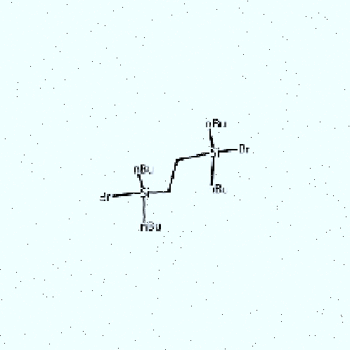 CCCC[Si](Br)(CCCC)CC[Si](Br)(CCCC)CCCC